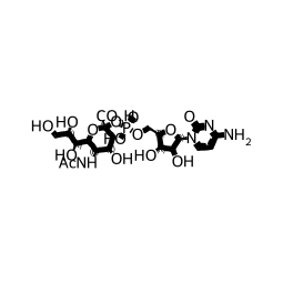 CC(=O)N[C@H]1C([C@H](O)[C@H](O)CO)O[C@](OP(=O)(O)OC[C@H]2O[C@@H](n3ccc(N)nc3=O)C(O)[C@H]2O)(C(=O)O)C[C@H]1O